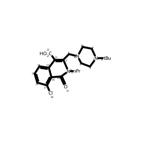 CCCn1c(CN2CCN(C(C)(C)C)CC2)c(C(=O)O)c2cccc(Cl)c2c1=O